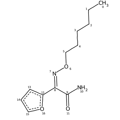 CCCCCCON=C(C(N)=O)c1ccco1